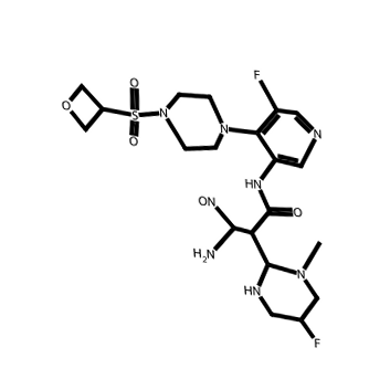 CN1CC(F)CNC1C(C(=O)Nc1cncc(F)c1N1CCN(S(=O)(=O)C2COC2)CC1)C(N)N=O